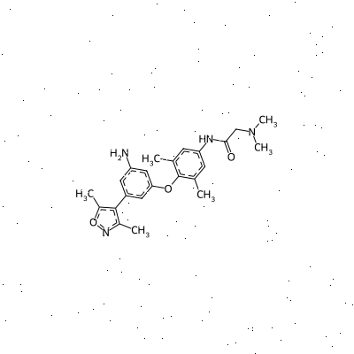 Cc1cc(NC(=O)CN(C)C)cc(C)c1Oc1cc(N)cc(-c2c(C)noc2C)c1